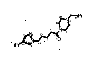 CC(C)CN1CCN(C(=O)CCCCn2cc(C(C)C)cn2)CC1